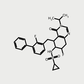 CC(C)n1cnc2c(c1=O)C(Cc1cccc(-c3ccccc3)c1F)C(NS(=O)(=O)C1CC1)C(F)C2